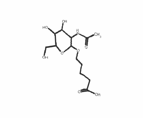 CC(=O)NC1C(OCCCCC(=O)O)OC(CO)C(O)C1O